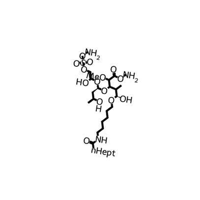 CCCCCCCC(=O)NCCCCCCO[C@@H](O)C(C)C(O[C@@H](CC(C)O)OC(O)COS(=O)(=O)ON)C(OC)C(=O)ON